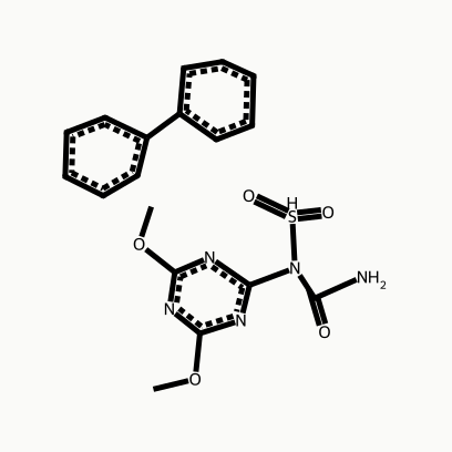 COc1nc(OC)nc(N(C(N)=O)[SH](=O)=O)n1.c1ccc(-c2ccccc2)cc1